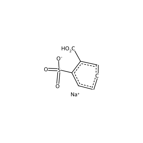 O=C(O)c1ccccc1S(=O)(=O)[O-].[Na+]